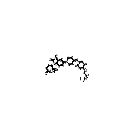 Cn1c(=O)n(C2CCC(=O)NC2=O)c2ccc(N3CCC(CN4CCC(OCCN)CC4)CC3)cc21